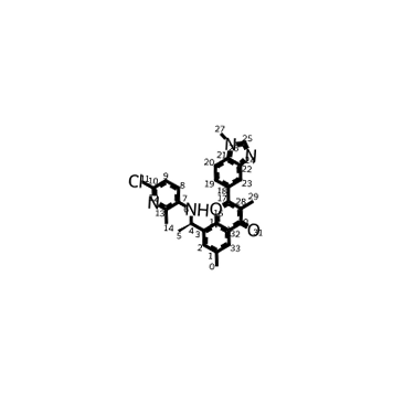 Cc1cc([C@@H](C)Nc2ccc(Cl)nc2C)c2oc(-c3ccc4c(c3)ncn4C)c(C)c(=O)c2c1